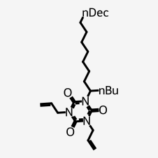 C=CCn1c(=O)n(CC=C)c(=O)n(C(CCCC)CCCCCCCCCCCCCCCCC)c1=O